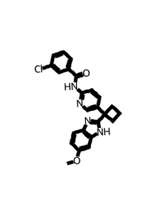 COc1ccc2nc(C3(c4ccc(NC(=O)c5cccc(Cl)c5)nc4)CCC3)[nH]c2c1